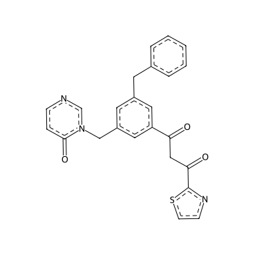 O=C(CC(=O)c1nccs1)c1cc(Cc2ccccc2)cc(Cn2cnccc2=O)c1